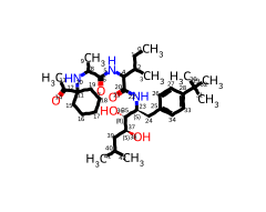 CCC(C)C(NC(=O)C(C)NC1(C(C)=O)CCCCC1)C(=O)N[C@@H](Cc1ccc(C(C)(C)C)cc1)[C@@H](O)[C@@H](O)CC(C)C